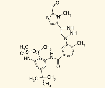 COc1c(NC(=O)c2ccc(C)c(N3C=C(c4cnc(C=O)n4C)NN3)c2)cc(C(C)(C)C)cc1NS(C)(=O)=O